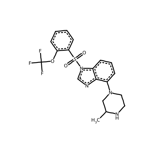 CC1CN(c2cccc3c2ncn3S(=O)(=O)c2ccccc2OC(F)(F)F)CCN1